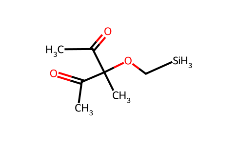 CC(=O)C(C)(OC[SiH3])C(C)=O